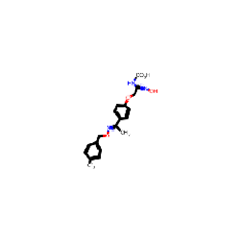 C/C(=N\OCc1ccc(C(F)(F)F)cc1)c1ccc(OC/C(=N\O)NC(=O)O)cc1